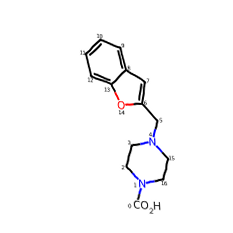 O=C(O)N1CCN(Cc2cc3ccccc3o2)CC1